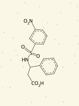 O=C(O)CC(NS(=O)(=O)c1cccc([N+](=O)[O-])c1)c1ccccc1